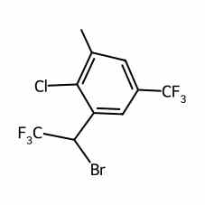 Cc1cc(C(F)(F)F)cc(C(Br)C(F)(F)F)c1Cl